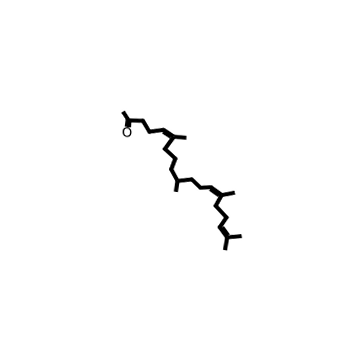 CC(=O)CC/C=C(/C)CCCC(C)CC/C=C(/C)CCC=C(C)C